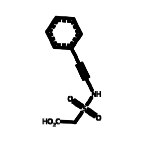 O=C(O)CS(=O)(=O)NC#Cc1ccccc1